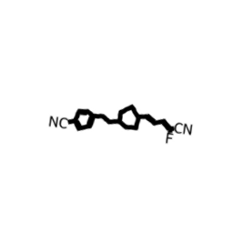 N#CC(F)=CC=CC1CCC(CCc2ccc(C#N)cc2)CC1